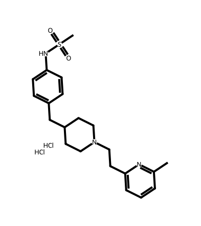 Cc1cccc(CCN2CCC(Cc3ccc(NS(C)(=O)=O)cc3)CC2)n1.Cl.Cl